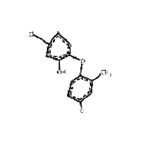 Cc1cc(Cl)ccc1Oc1ccc(Cl)cc1O